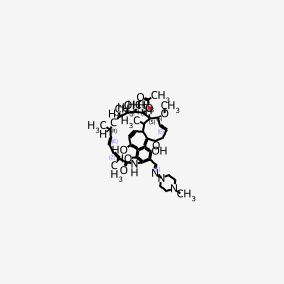 CO[C@H]1/C=C/CC(=O)C2=c3c(O)c(/C=N/N4CCN(C)CC4)c4c(O)c3=C(O)C#CC2C(C)[C@@H]1[C@@H](OC(C)=O)[C@H](C)[C@H](O)[C@H](C)C[C@@H](C)/C=C/C=C(/C)C(=O)N4